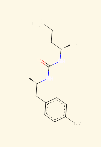 CNc1ccc(C[C@H](NC(=O)N[C@@H](CCC(=O)O)C(=O)O)C(=O)O)cc1